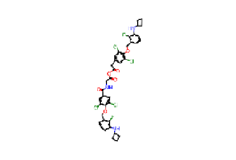 O=C(CNC(=O)c1cc(Cl)c(OCc2cccc(NC3CCC3)c2F)c(Cl)c1)OC(=O)Cc1cc(Cl)c(OCc2cccc(NC3CCC3)c2F)c(Cl)c1